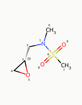 CN(C[C@H]1CO1)S(C)(=O)=O